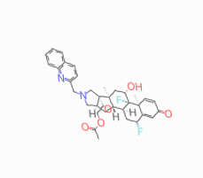 CC(=O)OCC(=O)[C@@]12CN(Cc3ccc4ccccc4n3)C[C@@H]1C[C@H]1[C@@H]3C[C@H](F)C4=CC(=O)C=C[C@]4(C)[C@@]3(F)[C@@H](O)C[C@@]12C